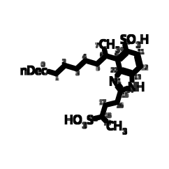 CCCCCCCCCCCCCCCC(C)c1c(S(=O)(=O)O)ccc2[nH]c(CCC(C)S(=O)(=O)O)nc12